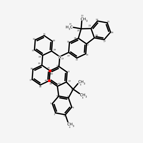 Cc1ccc2c(c1)C(C)(C)c1cc(N(c3ccc4c(c3)C(C)(C)c3ccccc3-4)c3ccccc3-c3ccccc3)ccc1-2